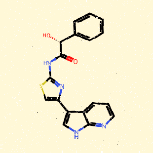 O=C(Nc1nc(-c2c[nH]c3ncccc23)cs1)[C@H](O)c1ccccc1